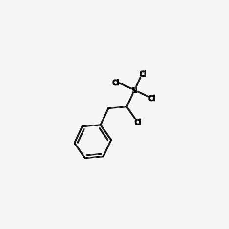 ClC(Cc1ccccc1)[Si](Cl)(Cl)Cl